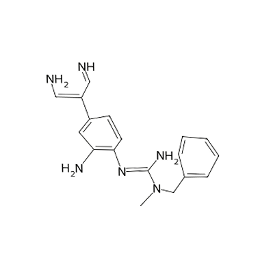 CN(Cc1ccccc1)/C(N)=N/c1ccc(/C(C=N)=C/N)cc1N